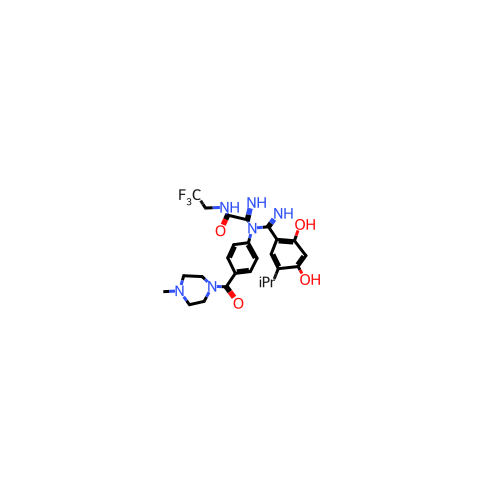 CC(C)c1cc(C(=N)N(C(=N)C(=O)NCC(F)(F)F)c2ccc(C(=O)N3CCN(C)CC3)cc2)c(O)cc1O